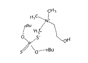 CCCCOP(=S)([S-])OCCCC.C[N+](C)(C)CCO